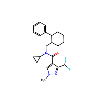 Cn1cc(C(=O)N(CC2CCCCC2c2ccccc2)C2CC2)c(C(F)F)n1